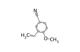 C=[C]c1cc(C#N)ccc1OC